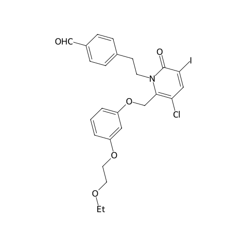 CCOCCOc1cccc(OCc2c(Cl)cc(I)c(=O)n2CCc2ccc(C=O)cc2)c1